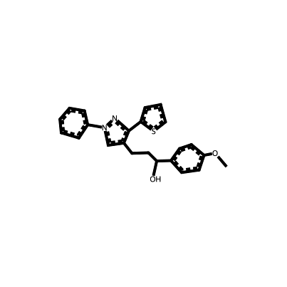 COc1ccc(C(O)CCc2cn(-c3ccccc3)nc2-c2cccs2)cc1